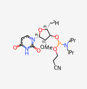 [2H]C[C@H]1O[C@@H](n2ccc(=O)[nH]c2=O)[C@@H](OC)C1OP(OCCC#N)N(C(C)C)C(C)C